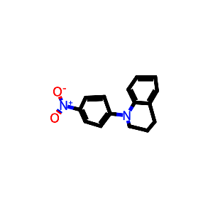 O=[N+]([O-])c1ccc(N2CCCc3ccccc32)cc1